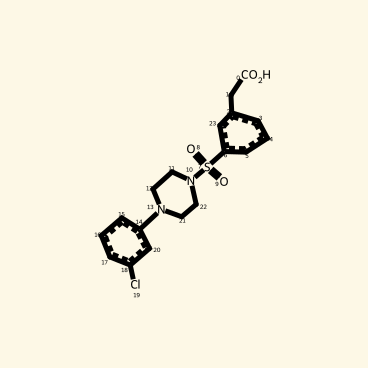 O=C(O)Cc1cccc(S(=O)(=O)N2CCN(c3cccc(Cl)c3)CC2)c1